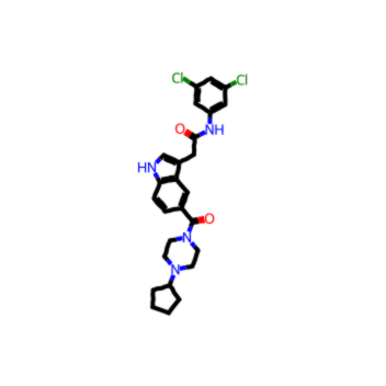 O=C(Cc1c[nH]c2ccc(C(=O)N3CCN(C4CCCC4)CC3)cc12)Nc1cc(Cl)cc(Cl)c1